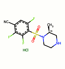 C[C@H]1CNCCN1S(=O)(=O)c1c(F)cc(C#N)c(F)c1F.Cl